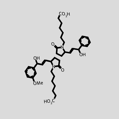 COc1cccc(C(O)C=CC2CCC(=O)N2CCCCCCC(=O)O)c1.O=C(O)CCCCCCN1C(=O)CCC1C=CC(O)c1ccccc1